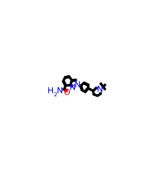 CC(C)(C)N1CCCC(c2ccc(-n3cc4cccc(C(N)=O)c4n3)cc2)C1